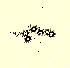 Nc1nc(Nc2ccc(Oc3ccnc(N(N)Cc4ccccc4)c3)cc2)cc(-c2ccccc2)n1